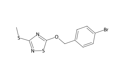 CSc1nsc(OCc2ccc(Br)cc2)n1